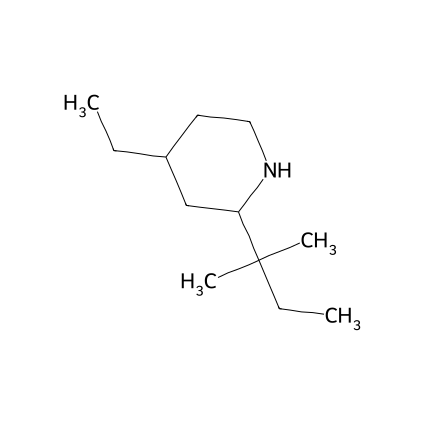 CCC1CCNC(C(C)(C)CC)C1